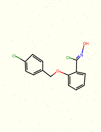 ON=C(Cl)c1ccccc1OCc1ccc(Cl)cc1